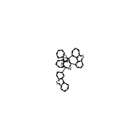 c1ccc(-c2nc(-c3ccc4sc5ccccc5c4c3)nc(-c3cccc4sc5cccc(-c6nc7ccccc7o6)c5c34)n2)cc1